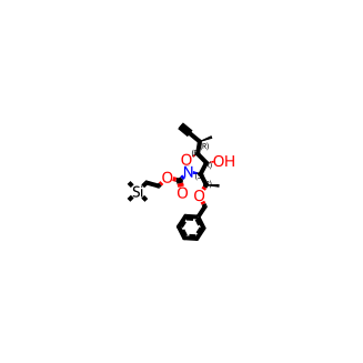 C#C[C@@H](C)[C@H]1ON(C(=O)OCC[Si](C)(C)C)[C@H]([C@@H](C)OCc2ccccc2)[C@H]1O